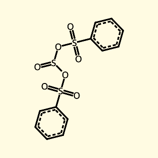 O=S(OS(=O)(=O)c1ccccc1)OS(=O)(=O)c1ccccc1